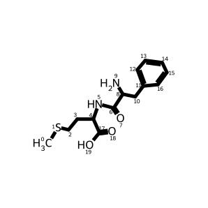 CSCCC(NC(=O)C(N)Cc1ccccc1)C(=O)O